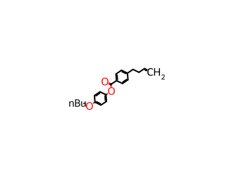 C=CCCc1ccc(C(=O)Oc2ccc(OCCCC)cc2)cc1